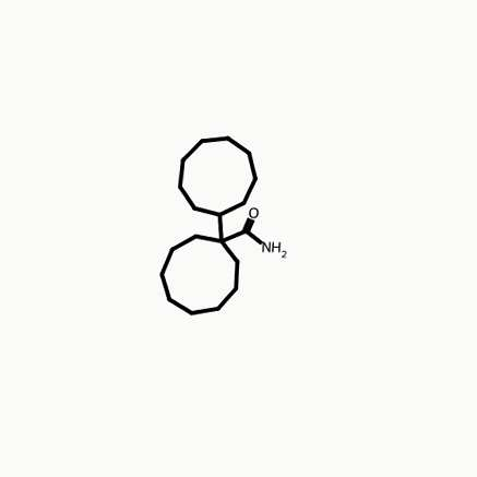 NC(=O)C1(C2CCCCCCCC2)CCCCCCCC1